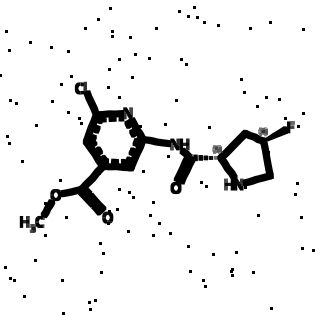 COC(=O)c1cc(Cl)nc(NC(=O)[C@@H]2C[C@@H](F)CN2)c1